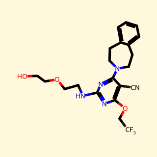 N#Cc1c(OCC(F)(F)F)nc(NCCOCCO)nc1N1CCc2ccccc2CC1